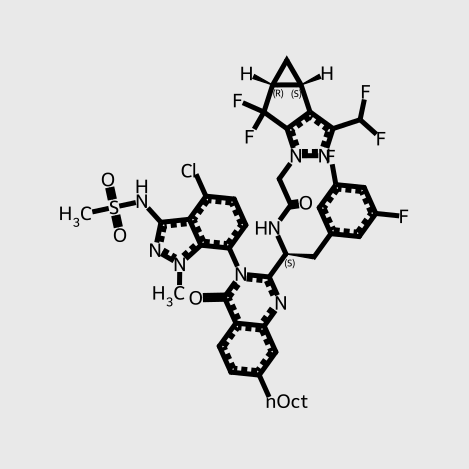 CCCCCCCCc1ccc2c(=O)n(-c3ccc(Cl)c4c(NS(C)(=O)=O)nn(C)c34)c([C@H](Cc3cc(F)cc(F)c3)NC(=O)Cn3nc(C(F)F)c4c3C(F)(F)[C@@H]3C[C@H]43)nc2c1